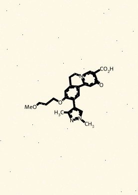 COCCCOc1cc2c(cc1-c1cn(C)nc1C)-c1cc(=O)c(C(=O)O)cn1CC2